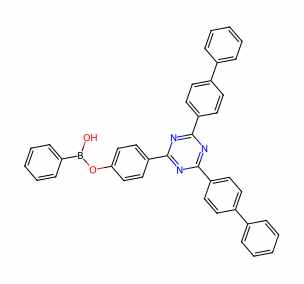 OB(Oc1ccc(-c2nc(-c3ccc(-c4ccccc4)cc3)nc(-c3ccc(-c4ccccc4)cc3)n2)cc1)c1ccccc1